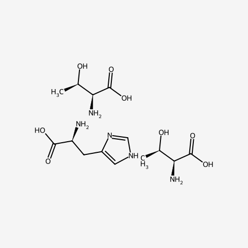 C[C@@H](O)[C@H](N)C(=O)O.C[C@@H](O)[C@H](N)C(=O)O.N[C@@H](Cc1c[nH]cn1)C(=O)O